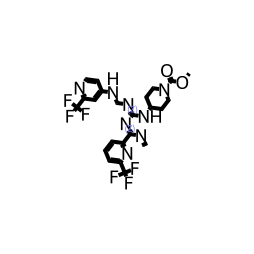 C=N/C(=N\C(=N/CNc1ccnc(C(F)(F)F)c1)NC1CCN(C(=O)OC)CC1)c1cccc(C(F)(F)F)n1